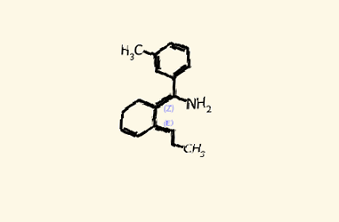 CC/C=C1\C=CCC\C1=C(\N)c1cccc(C)c1